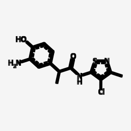 Cc1nsc(NC(=O)C(C)c2ccc(O)c(N)c2)c1Cl